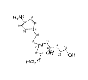 Nc1ccc(CCN(CCC(=O)O)CC(O)CCCO)cc1